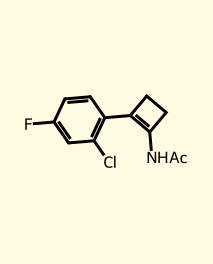 CC(=O)NC1=C(c2ccc(F)cc2Cl)CC1